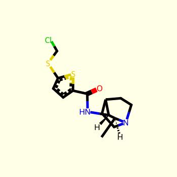 C[C@H]1[C@H](NC(=O)c2ccc(SCCl)s2)C2CCN1CC2